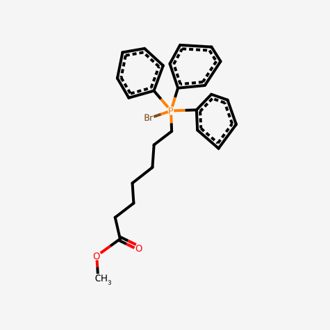 COC(=O)CCCCCCP(Br)(c1ccccc1)(c1ccccc1)c1ccccc1